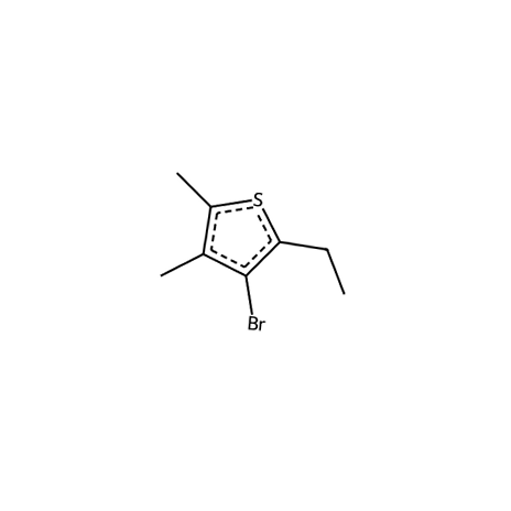 CCc1sc(C)c(C)c1Br